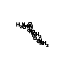 NC(=O)CCn1c([C@@H]2CCCN(C(=O)C[C@H](N)Cc3ccc(-c4ccc(N)nc4)cc3)C2)nc2ccccc21